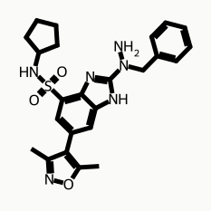 Cc1noc(C)c1-c1cc(S(=O)(=O)NC2CCCC2)c2nc(N(N)Cc3ccccc3)[nH]c2c1